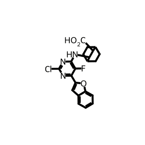 O=C(O)C1C2CCC(CC2)C1Nc1nc(Cl)nc(-c2cc3ccccc3o2)c1F